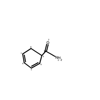 NC(=O)C1C=CC=CC1